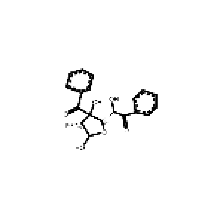 O=C(c1ccccc1)C(O)[C@@H]1OC(O)[C@H](F)C1(O)C(=O)c1ccccc1